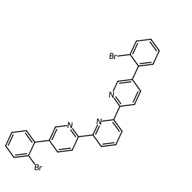 Brc1ccccc1-c1ccc(-c2cccc(-c3ccc(-c4ccccc4Br)cn3)n2)nc1